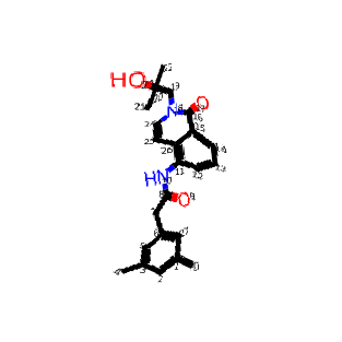 Cc1cc(C)cc(CC(=O)Nc2cccc3c(=O)n(CC(C)(C)O)ccc23)c1